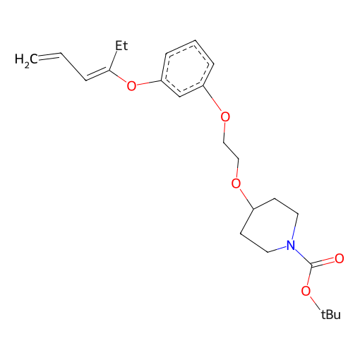 C=C/C=C(\CC)Oc1cccc(OCCOC2CCN(C(=O)OC(C)(C)C)CC2)c1